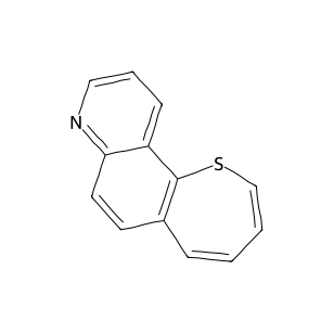 C1=CSc2c(ccc3ncccc23)C=C1